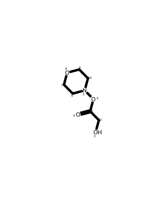 O=C(CO)ON1CCOCC1